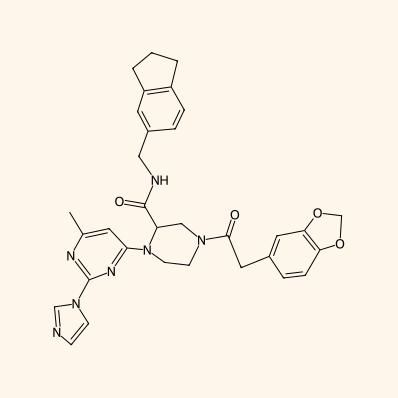 Cc1cc(N2CCN(C(=O)Cc3ccc4c(c3)OCO4)CC2C(=O)NCc2ccc3c(c2)CCC3)nc(-n2ccnc2)n1